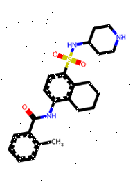 Cc1ccccc1C(=O)Nc1ccc(S(=O)(=O)NC2CCNCC2)c2c1CCCC2